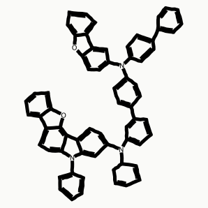 C1=CCC(N(c2cccc(-c3ccc(N(c4ccc(-c5ccccc5)cc4)c4ccc5oc6ccccc6c5c4)cc3)c2)c2ccc3c4c5oc6ccccc6c5ccc4n(-c4ccccc4)c3c2)C=C1